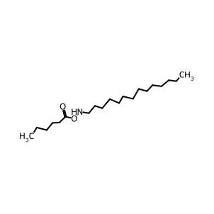 CCCCCCCCCCCCCCNOC(=O)CCCCC